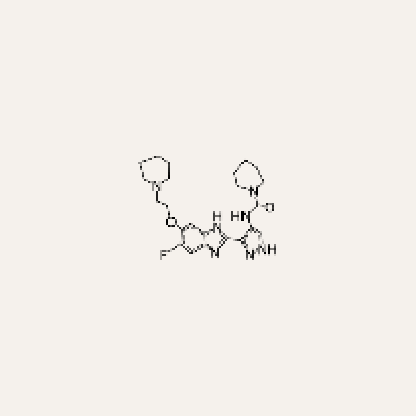 O=C(Nc1c[nH]nc1-c1nc2cc(F)c(OCCN3CCCCC3)cc2[nH]1)N1CCCCC1